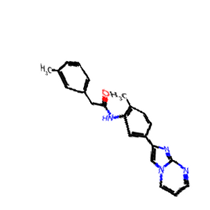 Cc1cccc(CC(=O)Nc2cc(-c3cn4cccnc4n3)ccc2C)c1